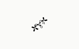 C[PH](C)(C)OS(=O)O[PH](C)(C)C